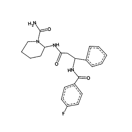 NC(=O)N1CCCCC1NC(=O)CC(NC(=O)c1ccc(F)cc1)c1ccccc1